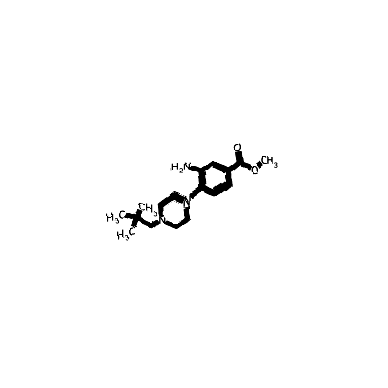 COC(=O)c1ccc(N2CCN(CC(C)(C)C)CC2)c(N)c1